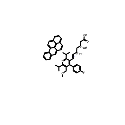 COCc1c(C(C)C)nc(C(C)C)c(/C=C/[C@@H](O)C[C@@H](O)CC(=O)O)c1-c1ccc(F)cc1.c1ccc2c(c1)cc1ccc3cccc4ccc2c1c34